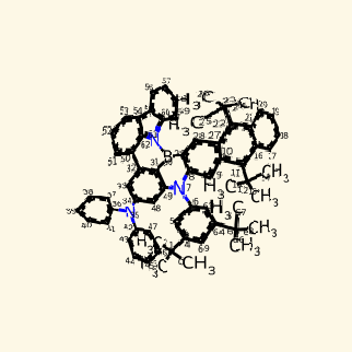 CC(C)(C)c1cc(N2c3cc4c(C(C)(C)C)c5ccccc5c(C(C)(C)C)c4cc3B3c4c(cc(N(c5ccccc5)c5ccccc5)cc42)-c2cccc4c5ccccc5n3c24)cc(C(C)(C)C)c1